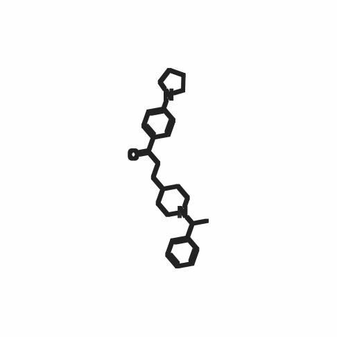 CC(c1ccccc1)N1CCC(CCC(=O)c2ccc(N3CCCC3)cc2)CC1